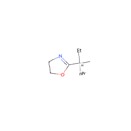 CCC[C@@](C)(CC)C1=NCCO1